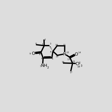 CC1(C)C[C@]2(C=C(N)C1=O)CCN(C(=O)C(C)(C)C(F)(F)F)C2